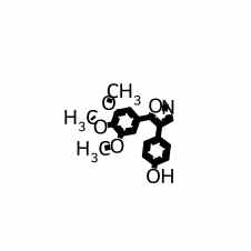 COc1cc(-c2oncc2-c2ccc(O)cc2)cc(OC)c1OC